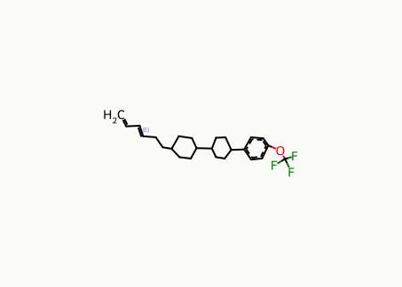 C=C/C=C/CCC1CCC(C2CCC(c3ccc(OC(F)(F)F)cc3)CC2)CC1